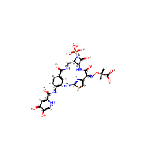 CC(C)(O/N=C(\C(=O)N[C@@H]1C(=O)N(S(=O)(=O)O)[C@@H]1CNC(=O)c1ccc(NC(=O)c2cc(=O)c(O)c[nH]2)cc1)c1csc(N)n1)C(=O)O